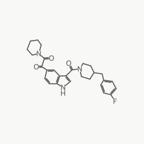 O=C(C(=O)N1CCCCC1)c1ccc2[nH]cc(C(=O)N3CCC(Cc4ccc(F)cc4)CC3)c2c1